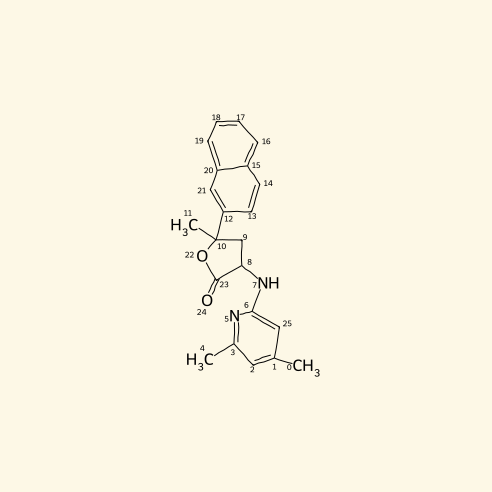 Cc1cc(C)nc(NC2CC(C)(c3ccc4ccccc4c3)OC2=O)c1